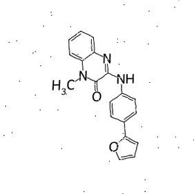 Cn1c(=O)c(Nc2ccc(-c3ccco3)cc2)nc2ccccc21